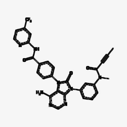 CC#CC(=O)N(C)c1cccc(-n2c(=O)n(-c3ccc(C(=O)Nc4cc(C(F)(F)F)ccn4)cc3)c3c(N)ncnc32)c1